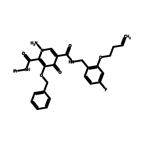 C=CCCOc1cc(F)ccc1CNC(=O)c1cn(N)c(C(=O)NC(C)C)c(OCc2ccccc2)c1=O